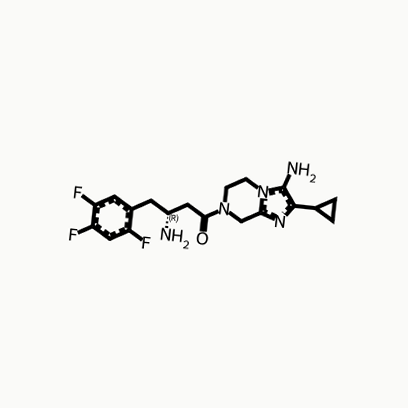 Nc1c(C2CC2)nc2n1CCN(C(=O)C[C@H](N)Cc1cc(F)c(F)cc1F)C2